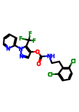 O=C(NCCc1c(Cl)cccc1Cl)Oc1cnn(-c2ccccn2)c1C(F)(F)F